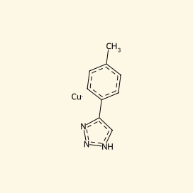 Cc1ccc(-c2c[nH]nn2)cc1.[Cu]